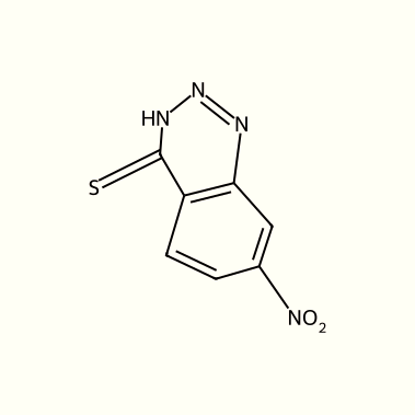 O=[N+]([O-])c1ccc2c(=S)[nH]nnc2c1